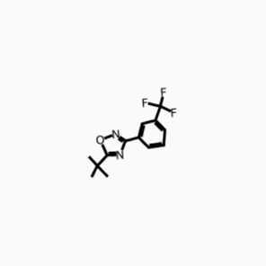 CC(C)(C)c1nc(-c2cccc(C(F)(F)F)c2)no1